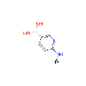 CCNc1ccc(B(O)O)cn1